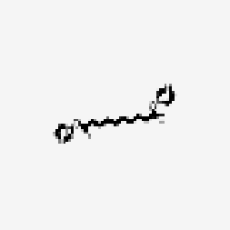 O=C(CCCCCCCCC(=O)ON1C=NCC1)ON1C=NCC1